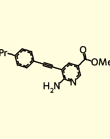 COC(=O)c1cnc(N)c(C#Cc2ccc(C(C)C)cc2)c1